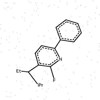 CCC(c1ccc(-c2ccccc2)nc1F)C(C)C